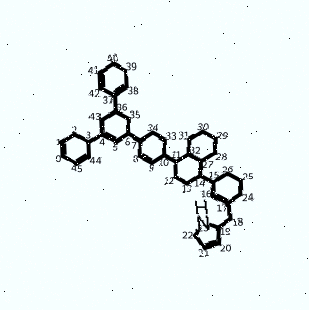 C1=CCC(C2=CC(C3C=CC(C4CCC(C5C=C(CC6C=CCN6)CCC5)C5CCCCC45)CC3)CC(C3=CCCC=C3)C2)C=C1